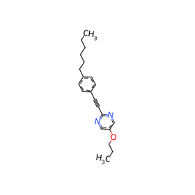 CCCCCCc1ccc(C#Cc2ncc(OCCC)cn2)cc1